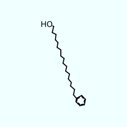 OCCCCCCCCCCCCCCCCCCc1ccccc1